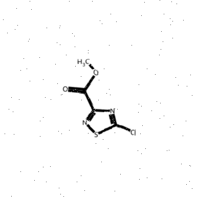 COC(=O)c1nsc(Cl)n1